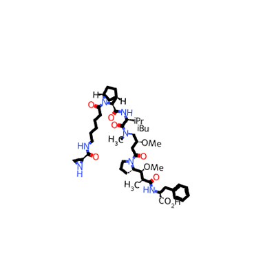 CC[C@H](C)[C@@H]([C@@H](CC(=O)N1CCC[C@H]1[C@H](OC)[C@@H](C)C(=O)N[C@@H](Cc1ccccc1)C(=O)O)OC)N(C)C(=O)[C@@H](NC(=O)[C@@H]1[C@H]2CC[C@H](C2)N1C(=O)CCCCCNC(=O)[C@@H]1CN1)C(C)C